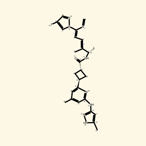 C=N/C(=C\C=C(/C)[C@H](C)NC(=O)[C@H]1C[C@H](c2cc(C)cc(Nc3cc(C)[nH]n3)n2)C1)n1cc(F)cn1